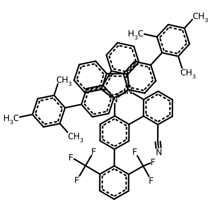 Cc1cc(C)c(-c2ccc3c(c2)c2ccccc2n3-c2ccc(-c3c(C(F)(F)F)cccc3C(F)(F)F)cc2-c2c(C#N)cccc2-n2c3ccccc3c3cc(-c4c(C)cc(C)cc4C)ccc32)c(C)c1